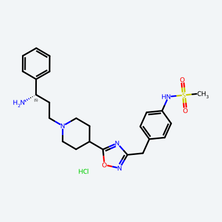 CS(=O)(=O)Nc1ccc(Cc2noc(C3CCN(CC[C@H](N)c4ccccc4)CC3)n2)cc1.Cl